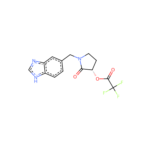 O=C1[C@@H](OC(=O)C(F)(F)F)CCN1Cc1ccc2[nH]cnc2c1